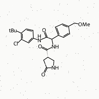 COCc1ccc(C(NC(=O)[C@@H]2CNC(=O)C2)C(=O)Nc2ccc(C(C)(C)C)c(Cl)c2)cc1